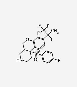 CC(F)(c1ccc2c(c1)OCC1CNCCC21S(=O)(=O)c1ccc(F)cc1)C(F)(F)F